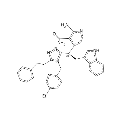 CCc1ccc(Cn2c(CCc3ccccc3)nnc2[C@H](Cc2c[nH]c3ccccc23)c2ccnc(N)c2C(N)=O)cc1